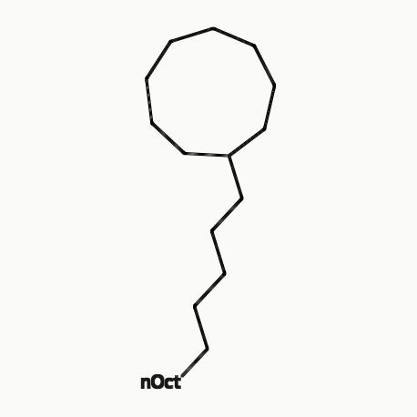 CCCCCCCCCCCCCC1CCCCCCCC1